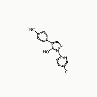 N#Cc1ccc(-c2cnn(-c3ccc(Cl)cn3)c2O)cc1